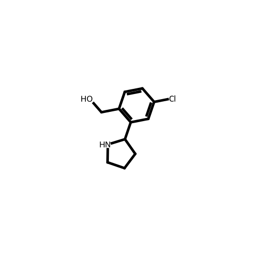 OCc1ccc(Cl)cc1C1CCCN1